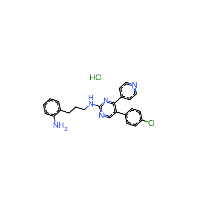 Cl.Nc1ccccc1CCCNc1ncc(-c2ccc(Cl)cc2)c(-c2ccncc2)n1